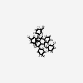 Cc1cccc(N(C2=C3C=CC=CC3C(C)(N(c3cccc(C)c3)c3cccc(C)c3)c3ccccc32)c2cccc(C)c2)c1